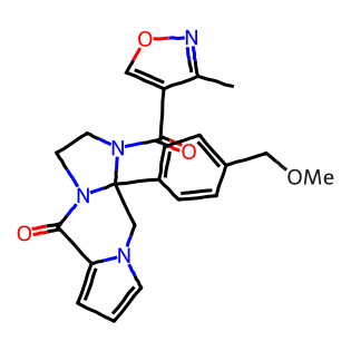 COCc1ccc(C23Cn4cccc4C(=O)N2CCN3C(=O)c2conc2C)cc1